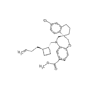 C=CCC[C@@H]1CC[C@H]1CN1C[C@@]2(CCCc3cc(Cl)ccc32)COc2ccc(C(=O)OC)cc21